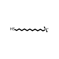 C[N+](C)(C)CCCCCCCCCCCS